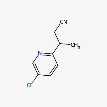 CC(CC#N)c1ccc(Cl)cn1